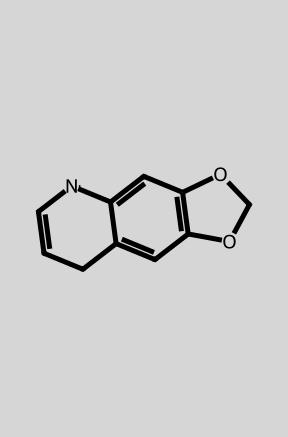 C1=C[N]c2cc3c(cc2C1)OCO3